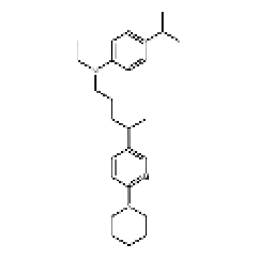 CCN(CCCC(C)c1ccc(N2CCCCC2)nc1)c1ccc(C(C)C)cc1